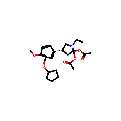 CCN1C[C@@H](c2ccc(OC)c(OC3CCCC3)c2)CC1(OC(C)=O)OC(C)=O